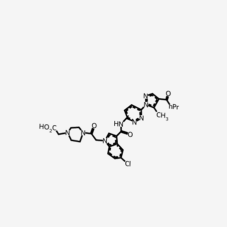 CCCC(=O)c1cnn(-c2ccc(NC(=O)c3cn(CC(=O)N4CCN(CC(=O)O)CC4)c4ccc(Cl)cc34)nn2)c1C